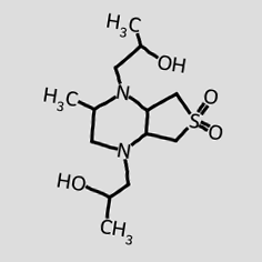 CC(O)CN1CC(C)N(CC(C)O)C2CS(=O)(=O)CC21